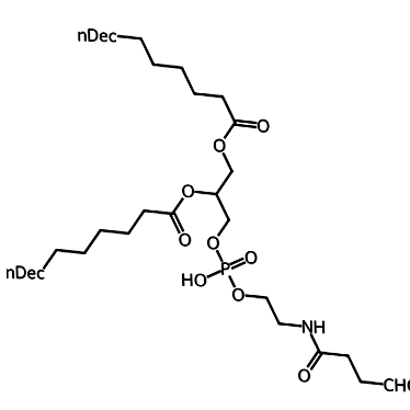 CCCCCCCCCCCCCCCC(=O)OCC(COP(=O)(O)OCCNC(=O)CCC=O)OC(=O)CCCCCCCCCCCCCCC